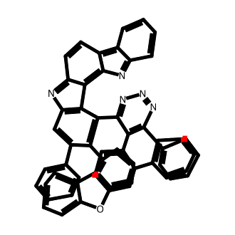 c1ccc(-c2ccccc2-c2c(-c3ccccc3)nnnc2-c2c3c(cc(-c4ccccc4)c2-c2cccc4oc5ccccc5c24)N=c2ccc4c(c2-3)N=c2ccccc2=4)cc1